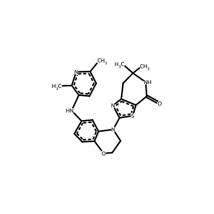 Cc1ccc(Nc2ccc3c(c2)N(c2nc4c(s2)C(=O)NC(C)(C)C4)CCO3)c(C)n1